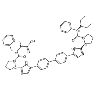 CCN(CC)[C@@H](C(=O)N1CCC[C@H]1c1ncc(-c2ccc(-c3ccc(-c4cnc([C@@H]5CCCN5C(=O)[C@H](Cc5ccccn5)N(C)C(=O)O)[nH]4)cc3)cc2)[nH]1)c1ccccc1